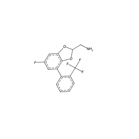 NCC1Oc2cc(F)cc(-c3ccccc3C(F)(F)F)c2O1